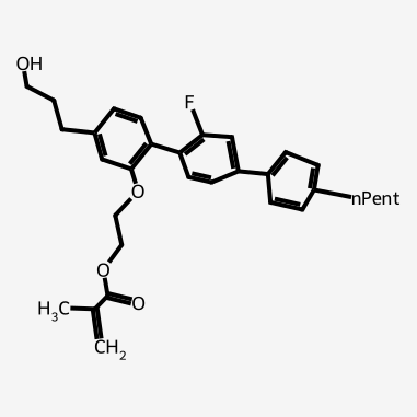 C=C(C)C(=O)OCCOc1cc(CCCO)ccc1-c1ccc(-c2ccc(CCCCC)cc2)cc1F